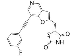 O=C1NC(=O)C(=Cc2cc3cncc(C#Cc4cccc(F)c4)c3o2)S1